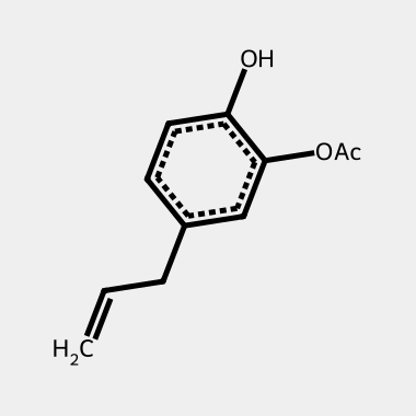 C=CCc1ccc(O)c(OC(C)=O)c1